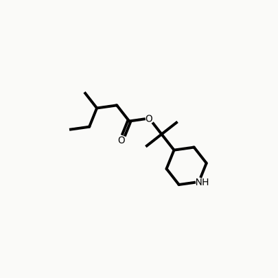 CCC(C)CC(=O)OC(C)(C)C1CCNCC1